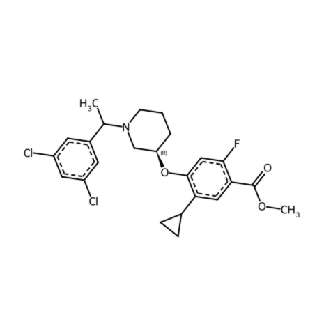 COC(=O)c1cc(C2CC2)c(O[C@@H]2CCCN(C(C)c3cc(Cl)cc(Cl)c3)C2)cc1F